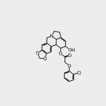 O=C(COc1ccccc1Cl)OC1C(O)C=C2CCN3Cc4cc5c(cc4C1C23)OCO5